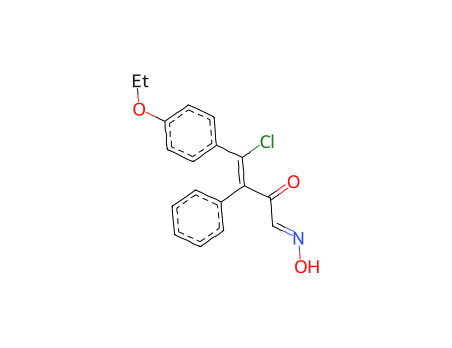 CCOc1ccc(C(Cl)=C(C(=O)C=NO)c2ccccc2)cc1